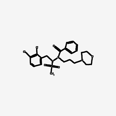 CS(=O)(=O)N(Cc1cccc(Cl)c1Cl)N(CCCN1CCOCC1)C(=O)c1ccccc1